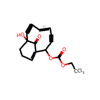 O=C(OCC(Cl)(Cl)Cl)OC1C#C/C=C/C#CC2(O)CCC=C1C2=O